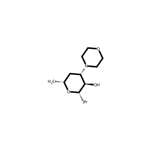 CC(C)[C@@H]1O[C@H](C)C[C@H](N2CCOCC2)[C@H]1O